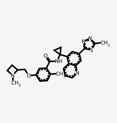 Cc1nnc(-c2cc(C3(NC(=O)c4cc(OCC5CCN5C)ccc4C)CC3)c3cccnc3c2)s1